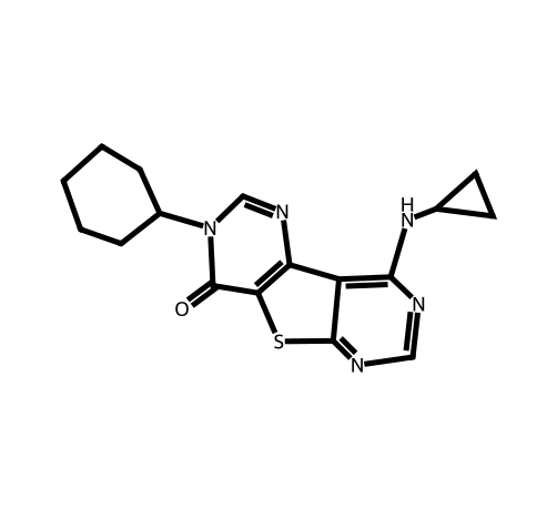 O=c1c2sc3ncnc(NC4CC4)c3c2ncn1C1CCCCC1